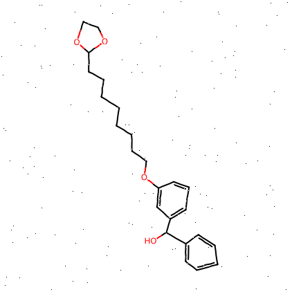 OC(c1ccccc1)c1cccc(OCCCCCCCCC2OCCO2)c1